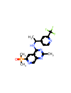 Cc1nc(NC(C)c2ccnc(C(F)(F)F)c2)c2cc(P(C)(C)=O)ncc2n1